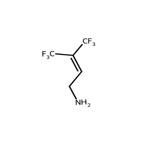 NCC=C(C(F)(F)F)C(F)(F)F